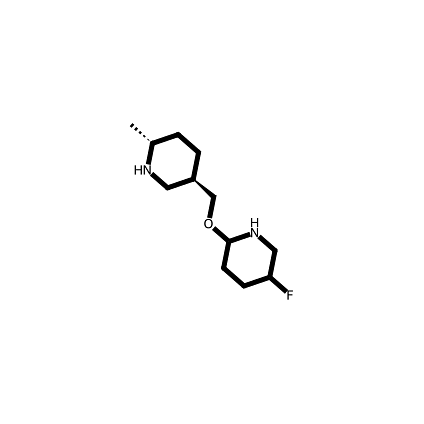 C[C@@H]1CC[C@@H](COC2CCC(F)CN2)CN1